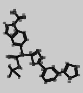 CC(C)(C)OC(=O)N(c1ccc2c(cnn2C(=O)O)c1)c1nnc(-c2cccc(-c3cnco3)c2)s1